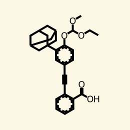 CCOC(OC)Oc1ccc(C#Cc2ccccc2C(=O)O)cc1C12CC3CC(CC(C3)C1)C2